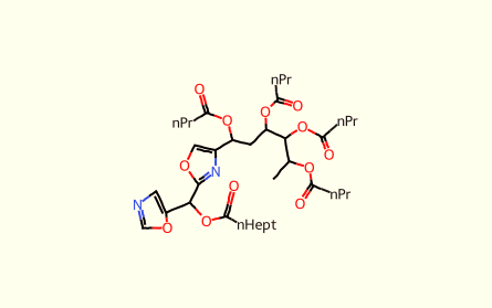 CCCCCCCC(=O)OC(c1cnco1)c1nc(C(CC(OC(=O)CCC)C(OC(=O)CCC)C(C)OC(=O)CCC)OC(=O)CCC)co1